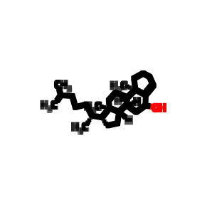 CC(C)CCC[C@@H](C)[C@H]1CC[C@H]2[C@@H]3CC(O)C4=CCCC[C@]4(C)[C@H]3CC[C@]12C